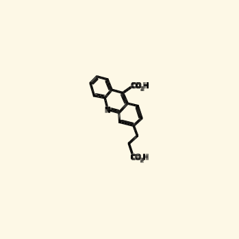 O=C(O)CCc1ccc2c(C(=O)O)c3ccccc3nc2c1